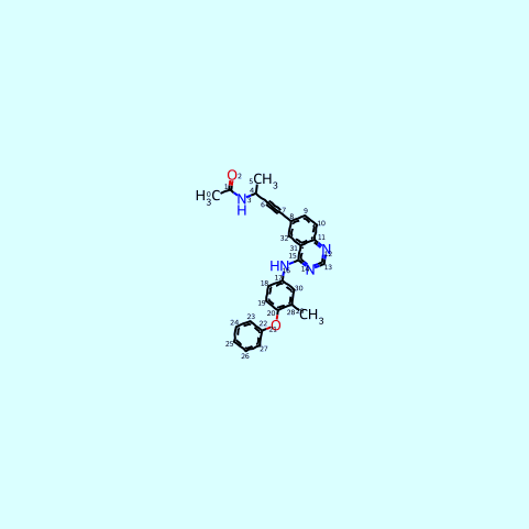 CC(=O)NC(C)C#Cc1ccc2ncnc(Nc3ccc(Oc4ccccc4)c(C)c3)c2c1